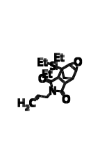 C=CCN1C(=O)C2C3CC([Si](CC)(CC)CC)(C4OC34)C2C1=O